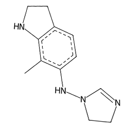 Cc1c(NN2C=NCC2)ccc2c1NCC2